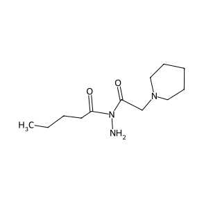 CCCCC(=O)N(N)C(=O)CN1CCCCC1